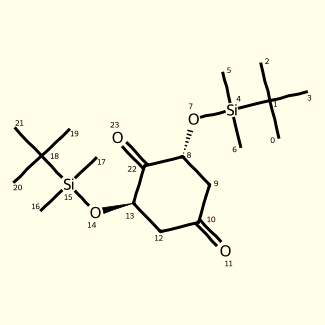 CC(C)(C)[Si](C)(C)O[C@@H]1CC(=O)C[C@@H](O[Si](C)(C)C(C)(C)C)C1=O